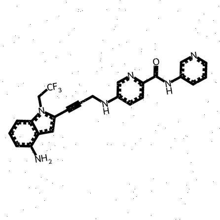 Nc1cccc2c1cc(C#CCNc1ccc(C(=O)Nc3cccnc3)nc1)n2CC(F)(F)F